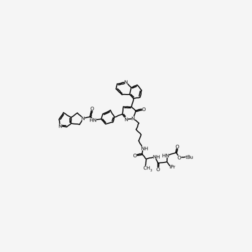 CC(NC(=O)C(NC(=O)OC(C)(C)C)C(C)C)C(=O)NCCCCn1nc(-c2ccc(NC(=O)N3Cc4ccncc4C3)cc2)cc(-c2cccc3ncccc23)c1=O